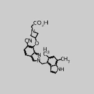 Cc1cc(C)c2[nH]ccc2c1Cn1cc2ccc(C#N)c(OC3CN(CC(=O)O)C3)c2n1